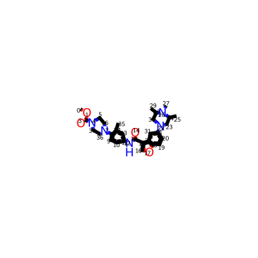 COC(=O)N1CCN(c2ccc(NC(=O)c3coc4ccc(N5CC(C)N(C)C(C)C5)cc34)cc2C)CC1